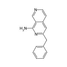 Nc1nc(Cc2ccccc2)cc2ccncc12